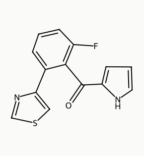 O=C(c1ccc[nH]1)c1c(F)cccc1-c1cscn1